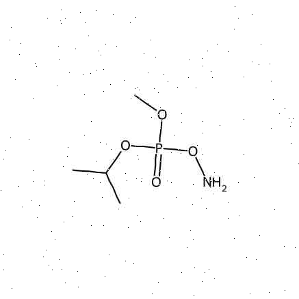 COP(=O)(ON)OC(C)C